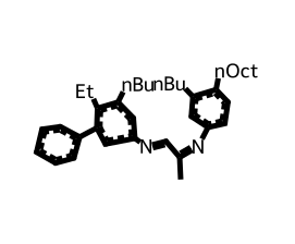 CCCCCCCCc1ccc(N=C(C)C=Nc2cc(CCCC)c(CC)c(-c3ccccc3)c2)cc1CCCC